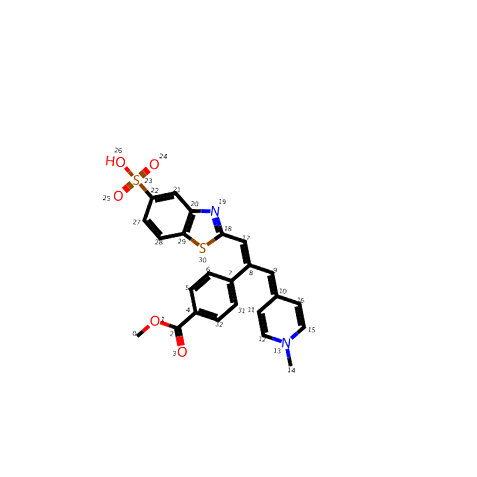 COC(=O)c1ccc(/C(C=C2C=CN(C)C=C2)=C\c2nc3cc(S(=O)(=O)O)ccc3s2)cc1